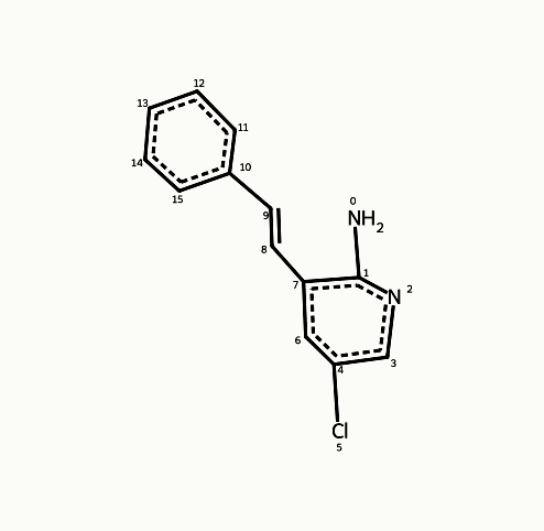 Nc1ncc(Cl)cc1C=Cc1ccccc1